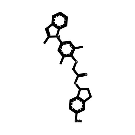 COc1ccc2c(c1)CCC2OC(=O)COc1c(C)cc([SH]2C(C)=Cc3ccccc32)cc1C